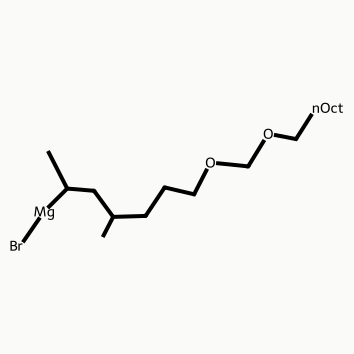 CCCCCCCCCOCOCCCC(C)C[CH](C)[Mg][Br]